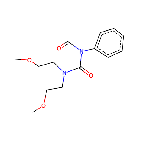 COCCN(CCOC)C(=O)N([C]=O)c1ccccc1